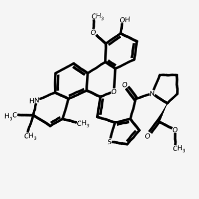 COC(=O)[C@@H]1CCCN1C(=O)c1ccsc1/C=C1\Oc2ccc(O)c(OC)c2-c2ccc3c(c21)C(C)=CC(C)(C)N3